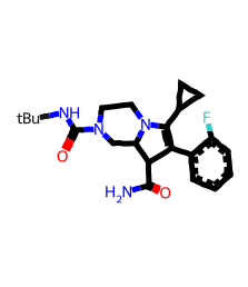 CC(C)(C)NC(=O)N1CCN2C(C3CC3)=C(c3ccccc3F)C(C(N)=O)C2C1